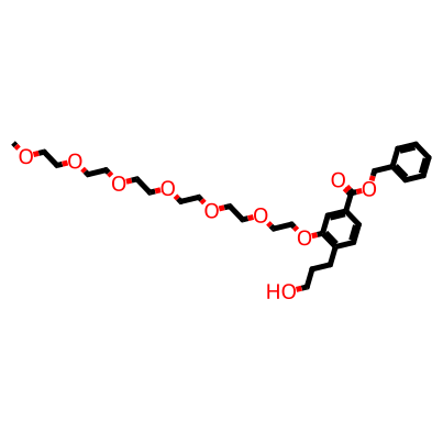 COCCOCCOCCOCCOCCOCCOc1cc(C(=O)OCc2ccccc2)ccc1CCCO